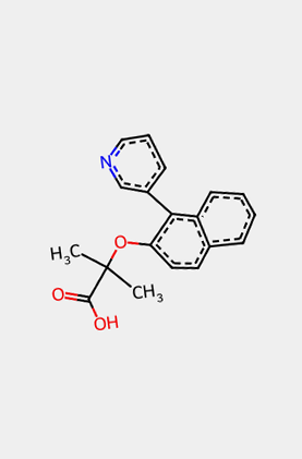 CC(C)(Oc1ccc2ccccc2c1-c1cccnc1)C(=O)O